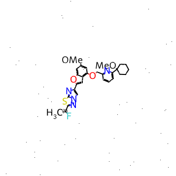 COc1cc(OCc2cccc(C3(OC)CCCCC3)n2)c2cc(-c3cn4nc([C@H](C)F)sc4n3)oc2c1